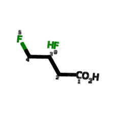 F.O=C(O)CCCF